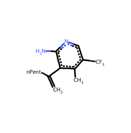 C=C(CCCCC)c1c(N)ncc(C(F)(F)F)c1C